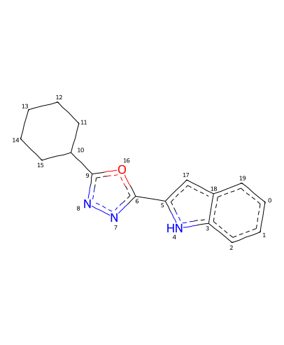 c1ccc2[nH]c(-c3nnc(C4CCCCC4)o3)cc2c1